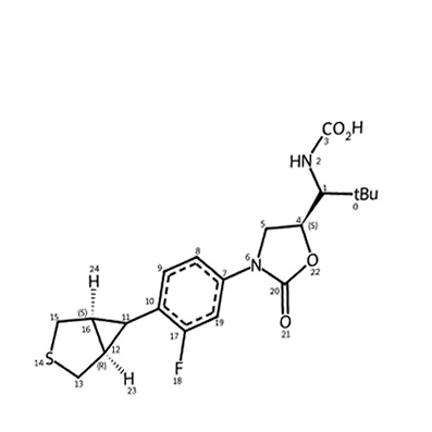 CC(C)(C)C(NC(=O)O)[C@@H]1CN(c2ccc(C3[C@H]4CSC[C@@H]34)c(F)c2)C(=O)O1